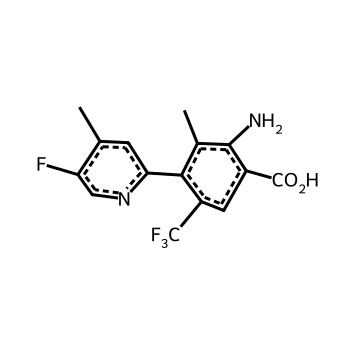 Cc1cc(-c2c(C(F)(F)F)cc(C(=O)O)c(N)c2C)ncc1F